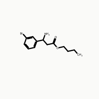 CCCCOC(=O)CC(N)c1cccc(Br)c1